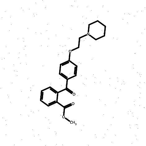 COC(=O)c1ccccc1C(=O)c1ccc(OCCN2CCCCC2)cc1